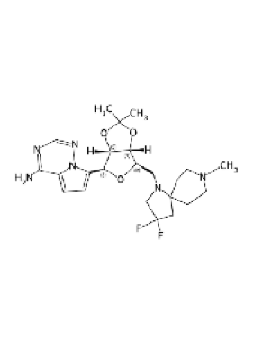 CN1CCC2(CC1)CC(F)(F)CN2C[C@H]1O[C@@H](c2ccc3c(N)ncnn23)[C@@H]2OC(C)(C)O[C@@H]21